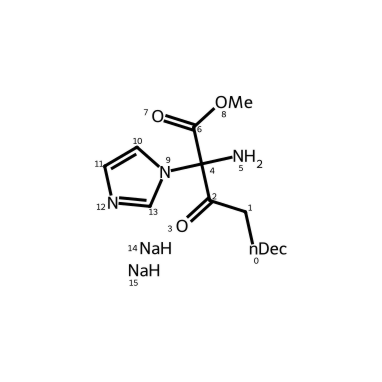 CCCCCCCCCCCC(=O)C(N)(C(=O)OC)n1ccnc1.[NaH].[NaH]